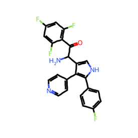 NC(C(=O)c1c(F)cc(F)cc1F)c1c[nH]c(-c2ccc(F)cc2)c1-c1ccncc1